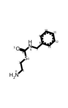 NCCSC(=O)NCc1ccccc1